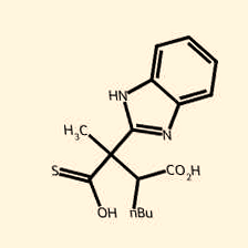 CCCCC(C(=O)O)C(C)(C(O)=S)c1nc2ccccc2[nH]1